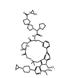 CO[C@@H](C)c1ncc(N2CCN(C3CC3)CC2)cc1-c1c2c3cc(ccc3n1CC(F)(F)F)-c1cccc(c1)C[C@H](NC(=O)C(C1CCCC1)N1CC[C@]3(CCN(C(=O)[C@H]4CN4)C3)C1)C(=O)N1CCC[C@H](N1)C(=O)OCC(C)(C)C2